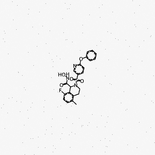 Cc1ccc(F)c2c1CCN(S(=O)(=O)c1ccc(Oc3ccccc3)nc1)C2C(=O)NO